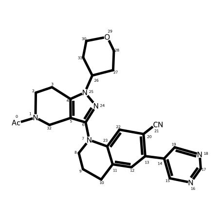 CC(=O)N1CCc2c(c(N3CCCc4cc(-c5cncnc5)c(C#N)cc43)nn2C2CCOCC2)C1